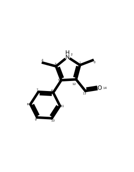 Cc1[nH]c(C)c(-c2ccccc2)c1C=O